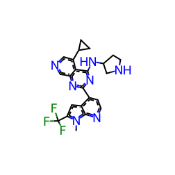 Cn1c(C(F)(F)F)cc2c(-c3nc(NC4CCNC4)c4c(C5CC5)cncc4n3)ccnc21